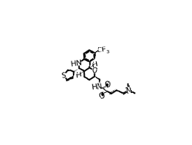 CN(C)CCCS(=O)(=O)NC[C@H]1CC[C@@H]2[C@H](O1)c1cc(C(F)(F)F)ccc1N[C@H]2C1C=CSC1